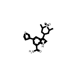 CC1CC(c2c[nH]c3c(C(N)=O)cc(-c4ccsc4)cc23)CC(C)S1(=O)=O